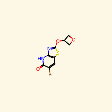 O=c1[nH]c2nc(OC3COC3)sc2cc1Br